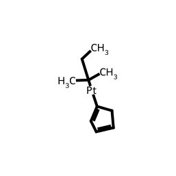 CC[C](C)(C)[Pt][C]1=CC=CC1